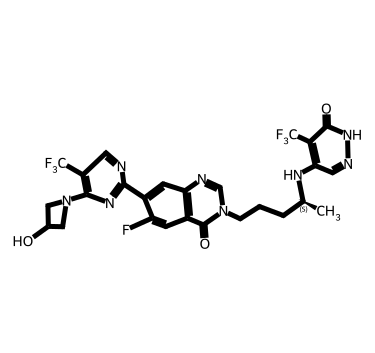 C[C@@H](CCCn1cnc2cc(-c3ncc(C(F)(F)F)c(N4CC(O)C4)n3)c(F)cc2c1=O)Nc1cn[nH]c(=O)c1C(F)(F)F